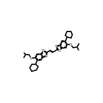 CC(C)COc1cc2oc(C=Cc3nc4cc(C5CCCCC5)c(OCC(C)C)cc4o3)nc2cc1C1CCCCC1